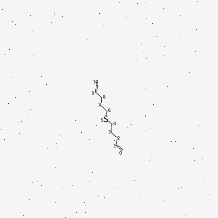 C=CCCCSCCCC=C